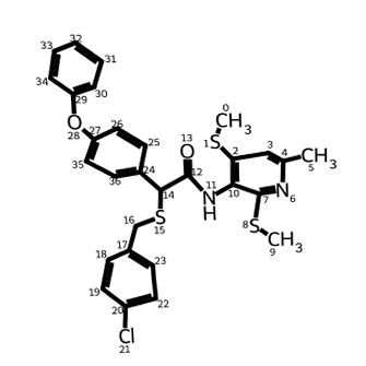 CSc1cc(C)nc(SC)c1NC(=O)C(SCc1ccc(Cl)cc1)c1ccc(Oc2ccccc2)cc1